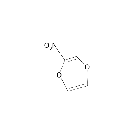 O=[N+]([O-])C1=COC=CO1